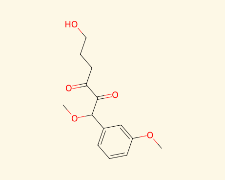 COc1cccc(C(OC)C(=O)C(=O)CCCO)c1